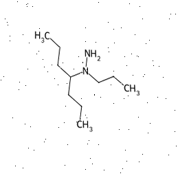 CCCC(CCC)N(N)CCC